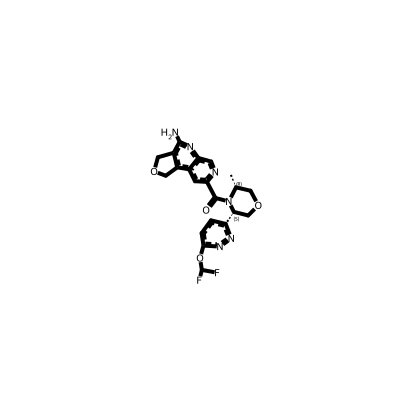 C[C@@H]1COC[C@H](c2ccc(OC(F)F)nn2)N1C(=O)c1cc2c3c(c(N)nc2cn1)COC3